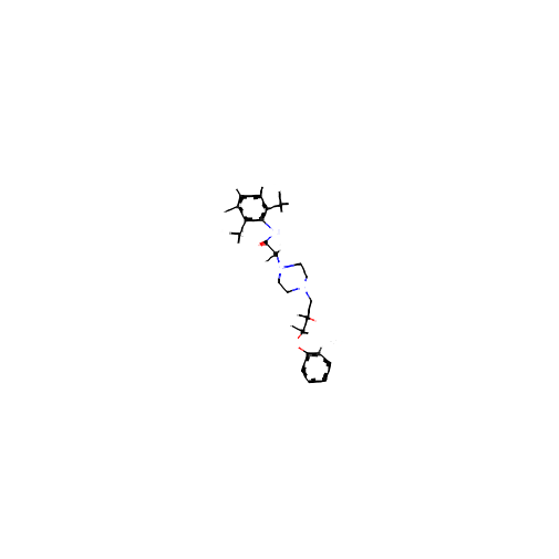 [2H]c1c([2H])c(C([2H])([2H])[2H])c(NC(=O)C([2H])([2H])N2CCN(CC([2H])(O)C([2H])([2H])Oc3ccccc3OC)CC2)c(C([2H])([2H])[2H])c1[2H]